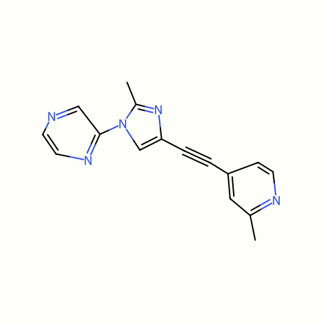 Cc1cc(C#Cc2cn(-c3cnccn3)c(C)n2)ccn1